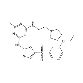 CCOc1cccc(S(=O)(=O)c2cnc(Nc3cc(NCCN4CCCC4)nc(C)n3)s2)c1